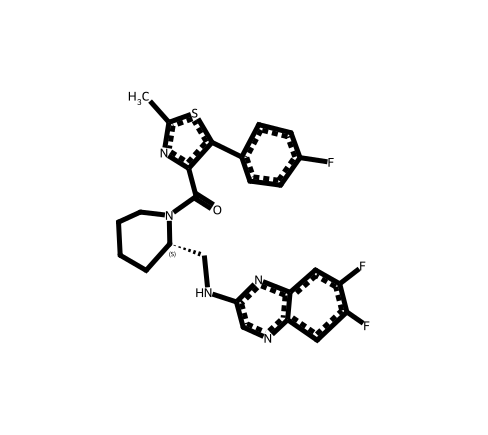 Cc1nc(C(=O)N2CCCC[C@H]2CNc2cnc3cc(F)c(F)cc3n2)c(-c2ccc(F)cc2)s1